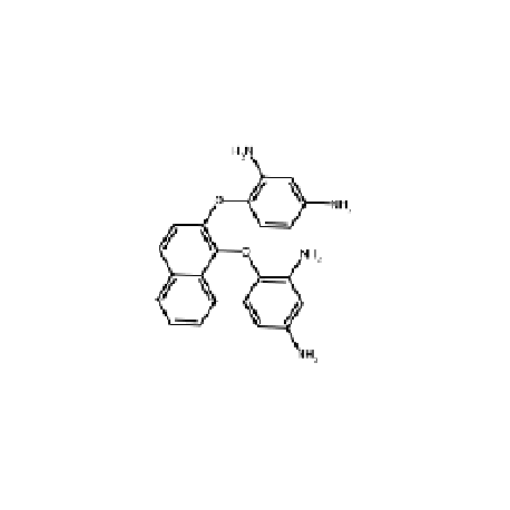 Nc1ccc(Oc2ccc3ccccc3c2Oc2ccc(N)cc2N)c(N)c1